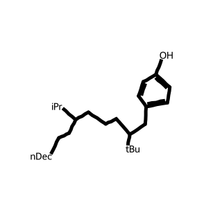 CCCCCCCCCCCCC(CCCC(Cc1ccc(O)cc1)C(C)(C)C)C(C)C